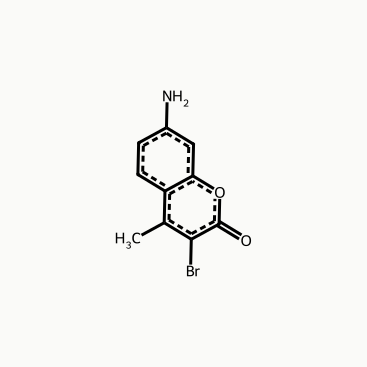 Cc1c(Br)c(=O)oc2cc(N)ccc12